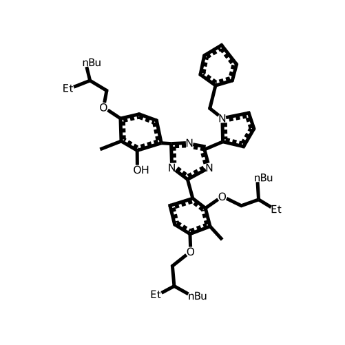 CCCCC(CC)COc1ccc(-c2nc(-c3ccc(OCC(CC)CCCC)c(C)c3OCC(CC)CCCC)nc(-c3cccn3Cc3ccccc3)n2)c(O)c1C